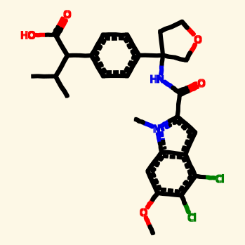 COc1cc2c(cc(C(=O)NC3(c4ccc(C(C(=O)O)C(C)C)cc4)CCOC3)n2C)c(Cl)c1Cl